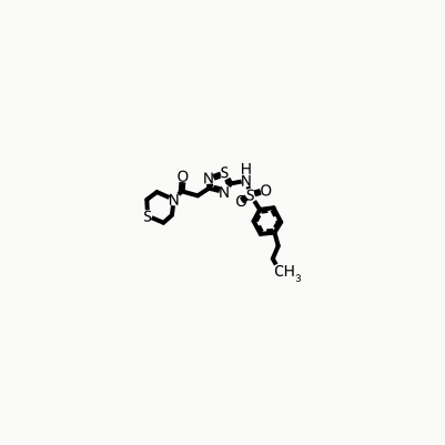 CCCc1ccc(S(=O)(=O)Nc2nc(CC(=O)N3CCSCC3)ns2)cc1